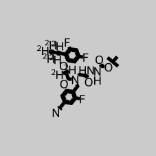 [2H]C([2H])(Oc1cc(F)cc(F)c1C([2H])([2H])C([2H])([2H])[2H])C(=O)N(CC(=O)NNC(=O)OC(C)(C)C)Cc1ccc(C#N)cc1F